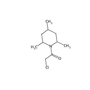 CC1CC(C)N(C(=O)CCl)C(C)C1